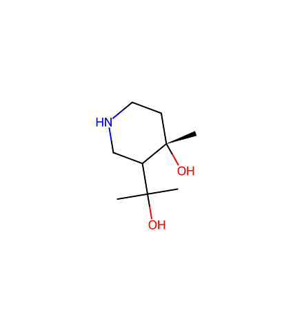 CC(C)(O)C1CNCC[C@]1(C)O